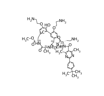 COC(=O)[C@@H]1Cc2cc(OCCN)c(O)c(c2)-c2cc(ccc2OCCN)[C@H](N(C)C(=O)[C@H](CCN)NC(=O)c2c(C)nc(-c3ccc(C(C)(C)C)cc3)nc2C)C(=O)N[C@@H](C)C(=O)N1